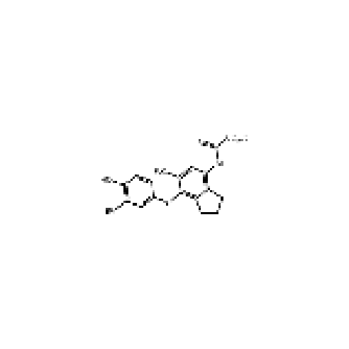 CCOC(=O)C(=O)Nc1cc(C(F)(F)F)c(Oc2ccc(O)c(C(C)C)c2)c2c1CCC2